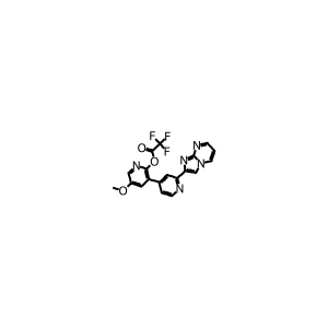 COc1cnc(OC(=O)C(F)(F)F)c(-c2ccnc(-c3cn4cccnc4n3)c2)c1